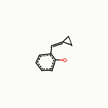 [O]c1ccccc1C=C1CC1